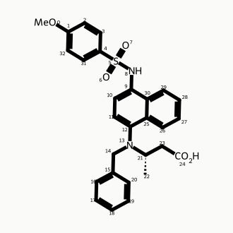 COc1ccc(S(=O)(=O)Nc2ccc(N(Cc3ccccc3)[C@@H](C)CC(=O)O)c3ccccc23)cc1